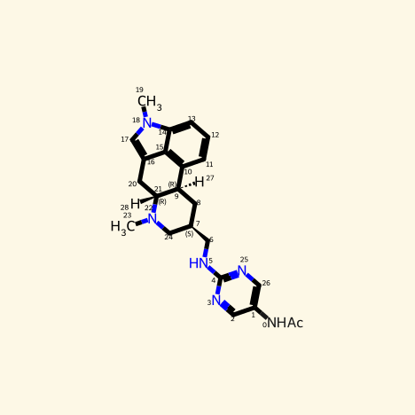 CC(=O)Nc1cnc(NC[C@@H]2C[C@@H]3c4cccc5c4c(cn5C)C[C@H]3N(C)C2)nc1